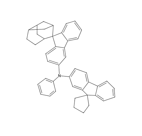 c1ccc(N(c2ccc3c(c2)-c2ccccc2C32C3CCC4CC2CC4C3)c2ccc3c(c2)C2(CCCC2)c2ccccc2-3)cc1